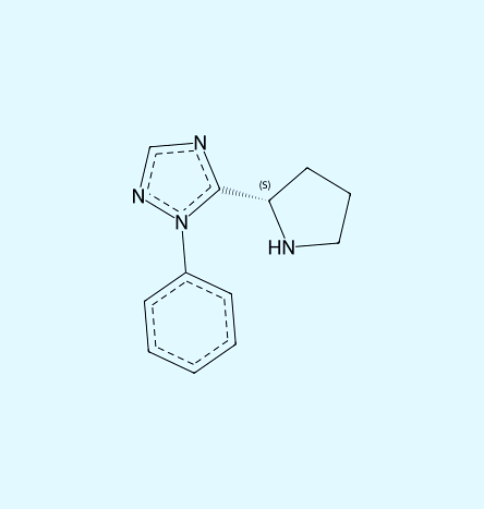 c1ccc(-n2ncnc2[C@@H]2CCCN2)cc1